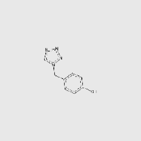 Oc1ccc(Cn2cnnn2)cc1